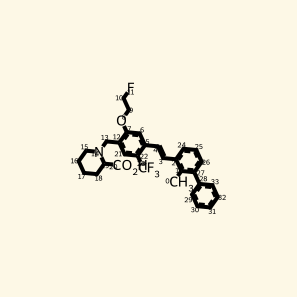 Cc1c(C=Cc2cc(OCCF)c(CN3CCCCC3C(=O)O)cc2C(F)(F)F)cccc1-c1ccccc1